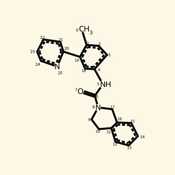 Cc1ccc(NC(=O)N2CCc3ccccc3C2)cc1-c1ccccn1